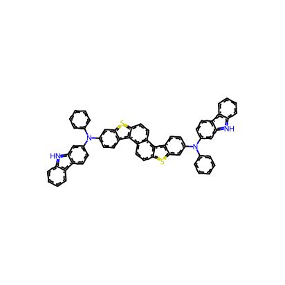 c1ccc(N(c2ccc3c(c2)[nH]c2ccccc23)c2ccc3c(c2)sc2ccc4c(ccc5sc6cc(N(c7ccccc7)c7ccc8c(c7)[nH]c7ccccc78)ccc6c54)c23)cc1